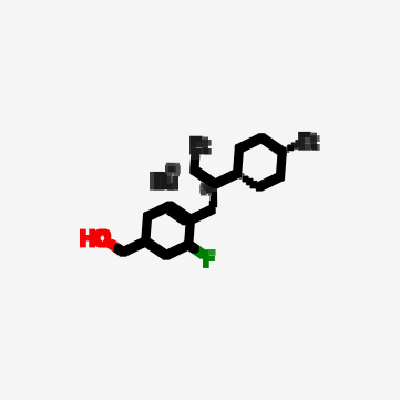 CCC([C@H](C)CC)[C@@H](CC1=CCC(CO)CC1F)[C@H]1CC[C@@H](CC)CC1